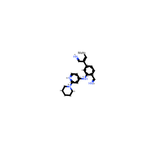 CN/C=C(\C=N)c1ccc(C=N)c(Nc2ccnc(N3CCCCC3)c2)c1